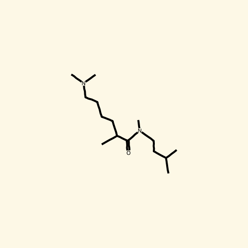 CC(C)CCN(C)C(=O)C(C)CCCCN(C)C